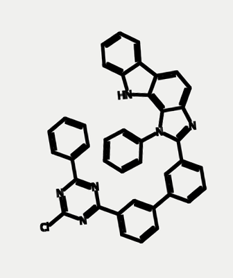 Clc1nc(-c2ccccc2)nc(-c2cccc(-c3cccc(-c4nc5ccc6c7ccccc7[nH]c6c5n4-c4ccccc4)c3)c2)n1